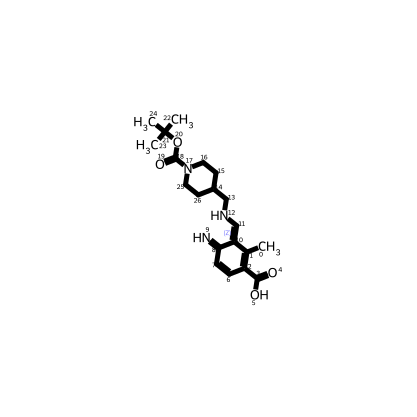 CC1=C(C(=O)O)C=CC(=N)/C1=C\NCC1CCN(C(=O)OC(C)(C)C)CC1